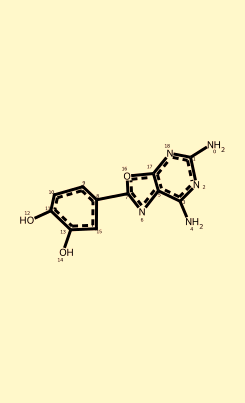 Nc1nc(N)c2nc(-c3ccc(O)c(O)c3)oc2n1